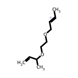 C=CC(C)OCCOC/C=C/C